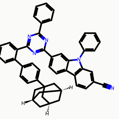 N#Cc1ccc2c3ccc(-c4nc(-c5ccccc5)nc(-c5ccccc5-c5ccc(C67C[C@H]8C[C@H](C6)C[C@@H](C7)C8)cc5)n4)cc3n(-c3ccccc3)c2c1